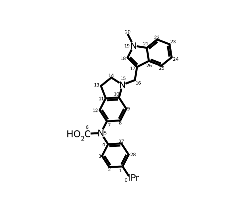 CC(C)c1ccc(N(C(=O)O)c2ccc3c(c2)CCN3Cc2cn(C)c3ccccc23)cc1